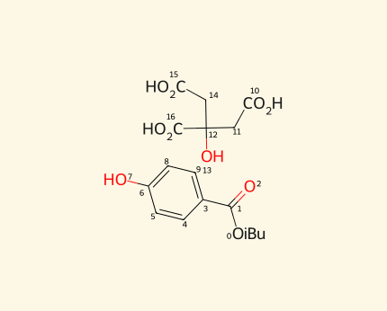 CC(C)COC(=O)c1ccc(O)cc1.O=C(O)CC(O)(CC(=O)O)C(=O)O